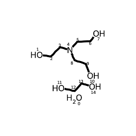 O.OCCN(CCO)CCO.OCCO